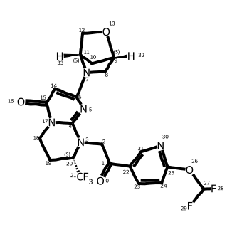 O=C(CN1c2nc(N3C[C@@H]4C[C@H]3CO4)cc(=O)n2CC[C@H]1C(F)(F)F)c1ccc(OC(F)F)nc1